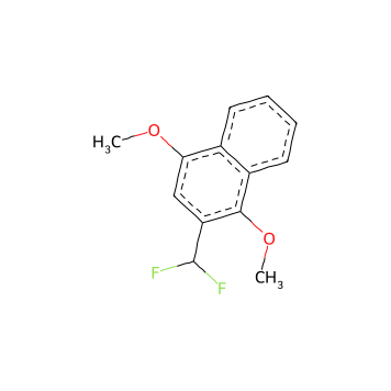 COc1cc(C(F)F)c(OC)c2ccccc12